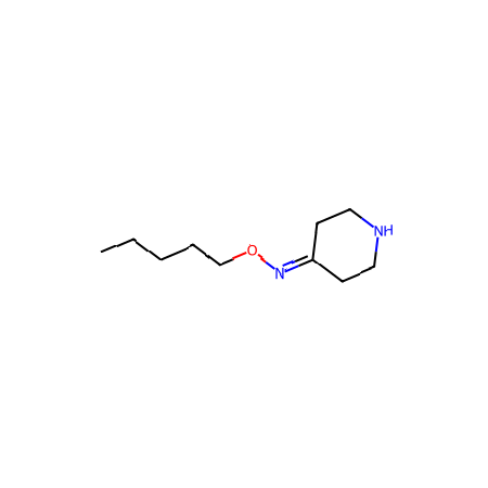 CCCCCON=C1CCNCC1